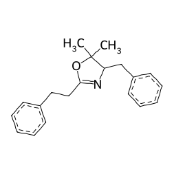 CC1(C)OC(CCc2ccccc2)=NC1Cc1ccccc1